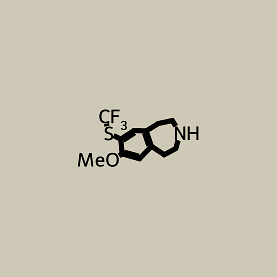 COc1cc2c(cc1SC(F)(F)F)CCNCC2